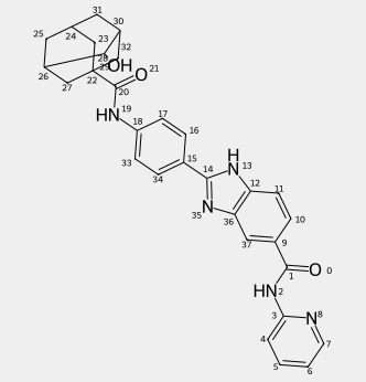 O=C(Nc1ccccn1)c1ccc2[nH]c(-c3ccc(NC(=O)C45CC6CC(C4)C(O)C(C6)C5)cc3)nc2c1